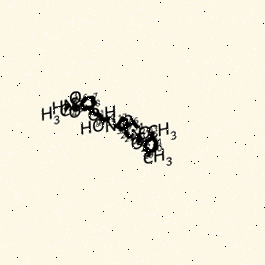 CNS(=O)(=O)c1cccc(OC[C@@H](O)CNC2COC3(CCN(S(=O)(=O)c4cc(C)ccc4C)CC3)C2)c1